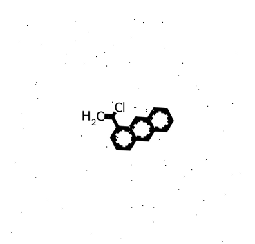 C=C(Cl)c1cccc2cc3ccccc3cc12